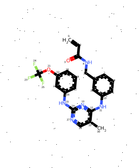 C=CC(=O)NCc1cccc(Nc2nc(Nc3cccc(OC(F)(F)F)c3)ncc2C)c1